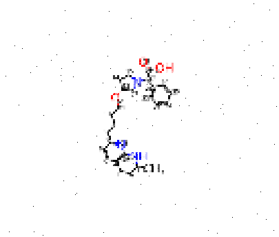 CC1CCc2ccc(CCCCO[C@@H]3CCN([C@@H](C(=O)O)c4ccccc4)C3)nc2N1